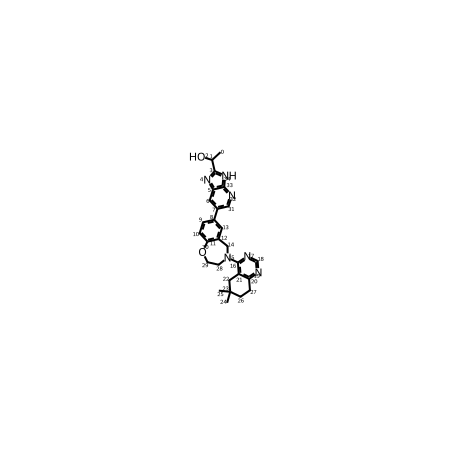 CC(O)c1nc2cc(-c3ccc4c(c3)CN(c3ncnc5c3CC(C)(C)CC5)CCO4)cnc2[nH]1